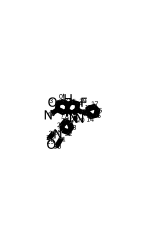 C[C@H]1C(=O)C(C#N)=C[C@@]2(C)c3c(c(-c4ccccc4F)nn3-c3ccc(N4CCOCC4)cc3)CC[C@H]12